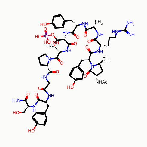 CC(=O)N[C@H]1CC(C)N([C@@H](Cc2ccc(O)cc2)C(=O)N[C@@H](CCCNC(=N)N)C(=O)N[C@@H](C)C(=O)N[C@@H](Cc2ccc(O)cc2)C(=O)N[C@H](C(=O)N[C@@H](CO)C(=O)N2CCC[C@H]2C(=O)NCC(=O)N[C@@H](Cc2ccc(O)cc2)C(=O)N[C@@H](CO)C(N)=O)C(C)OP(=O)(O)O)C1=O